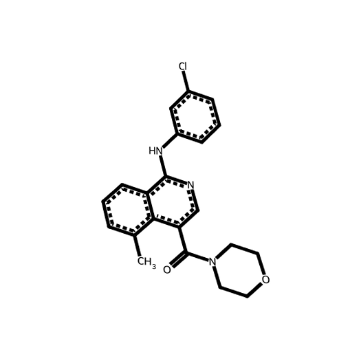 Cc1cccc2c(Nc3cccc(Cl)c3)ncc(C(=O)N3CCOCC3)c12